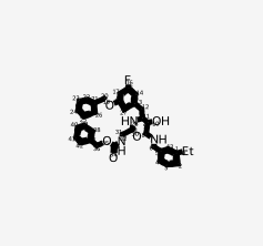 CCc1cccc(CNCC(O)C(Cc2cc(F)cc(OCc3ccccc3)c2)NC(=O)CNC(=O)OCc2ccccc2)c1